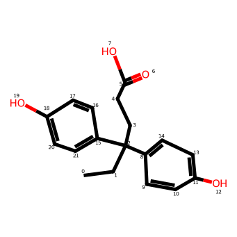 CCC(CCC(=O)O)(c1ccc(O)cc1)c1ccc(O)cc1